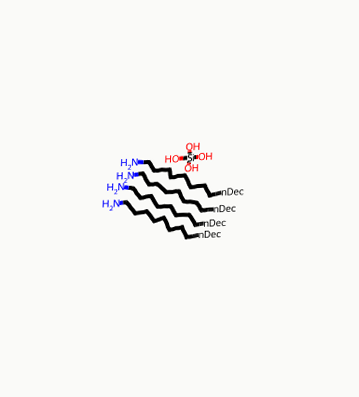 CCCCCCCCCCCCCCCCCCN.CCCCCCCCCCCCCCCCCCN.CCCCCCCCCCCCCCCCCCN.CCCCCCCCCCCCCCCCCCN.O[Si](O)(O)O